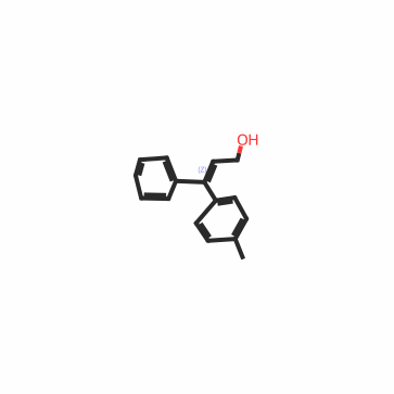 Cc1ccc(/C(=C\CO)c2ccccc2)cc1